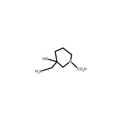 NCC1(O)CCCN(C(=O)O)C1